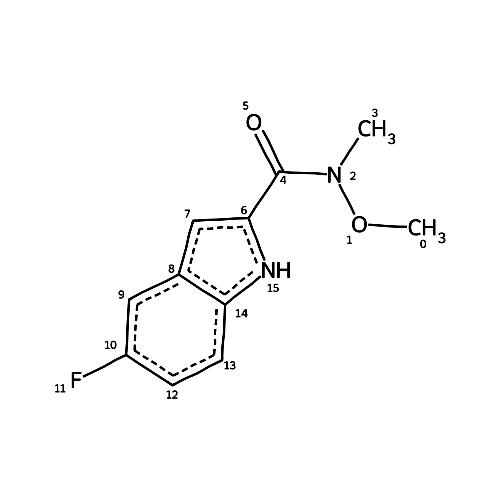 CON(C)C(=O)c1cc2cc(F)ccc2[nH]1